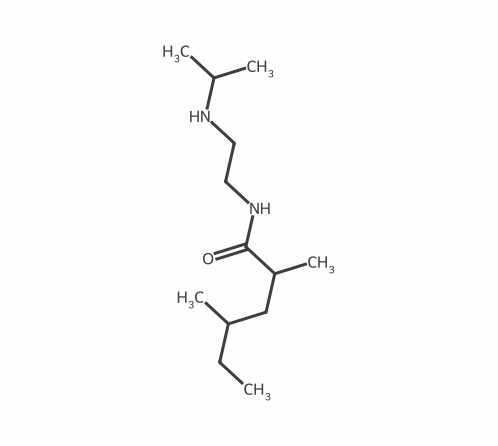 CCC(C)CC(C)C(=O)NCCNC(C)C